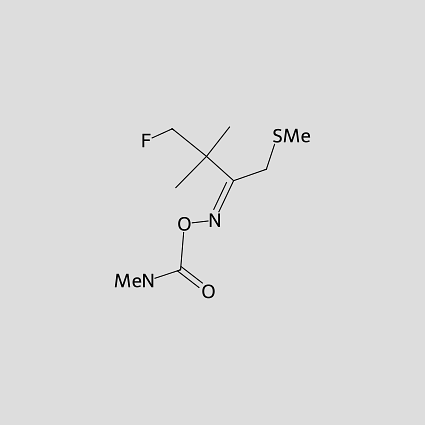 CNC(=O)ON=C(CSC)C(C)(C)CF